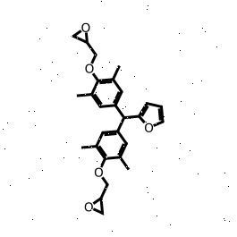 Cc1cc(C(c2cc(C)c(OCC3CO3)c(C)c2)c2ccco2)cc(C)c1OCC1CO1